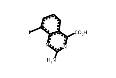 Nc1nc(C(=O)O)c2cccc(I)c2n1